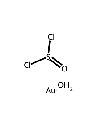 O.O=S(Cl)Cl.[Au]